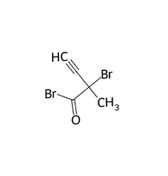 C#CC(C)(Br)C(=O)Br